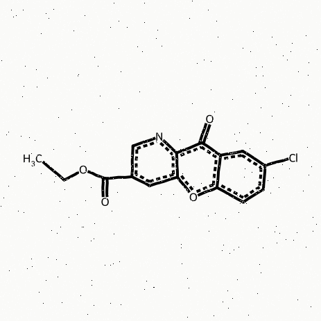 CCOC(=O)c1cnc2c(=O)c3cc(Cl)ccc3oc2c1